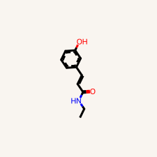 CCNC(=O)/C=C/c1cccc(O)c1